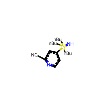 CCCCS(=N)(CCCC)(CCCC)c1ccnc(C#N)c1